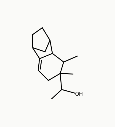 CC(O)C1(C)CC=C2C3CCC(C3)C2C1C